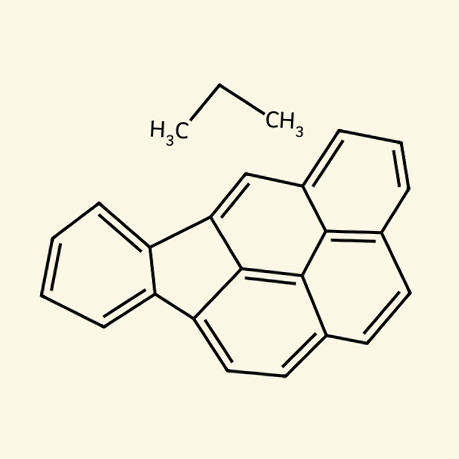 CCC.c1ccc2c(c1)-c1ccc3ccc4cccc5cc-2c1c3c45